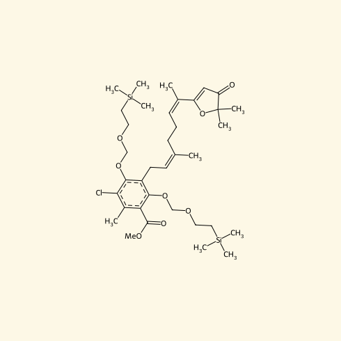 COC(=O)c1c(C)c(Cl)c(OCOCC[Si](C)(C)C)c(CC=C(C)CCC=C(C)C2=CC(=O)C(C)(C)O2)c1OCOCC[Si](C)(C)C